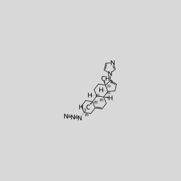 C[C@]12CC[C@@H](N=[N+]=[N-])CC1=CC[C@@H]1[C@@H]2CC[C@]2(C)C(n3ccnc3)=CC[C@@H]12